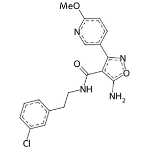 COc1ccc(-c2noc(N)c2C(=O)NCCc2cccc(Cl)c2)cn1